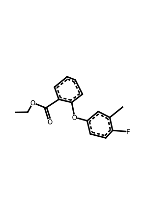 CCOC(=O)c1ccccc1Oc1ccc(F)c(C)c1